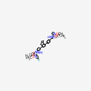 CC(C)(C)OC(=O)N1CCC[C@H]1c1ncc(-c2ccc(-c3ccc(-c4ccc5nc([C@@H]6C[C@H](F)CN6C(=O)OC(C)(C)C)[nH]c5c4)c4c3C3CCC3C4)cc2)[nH]1